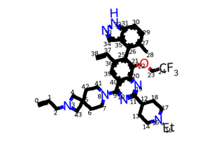 C=CCN1CC2(CCN(c3nc(C4CCN(CC)CC4)nc4c(OCC(F)(F)F)c(-c5c(C)ccc6[nH]ncc56)c(C=C)cc34)CC2)C1